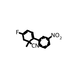 CC1(C#N)CC(F)=CC=C1c1cccc([N+](=O)[O-])c1